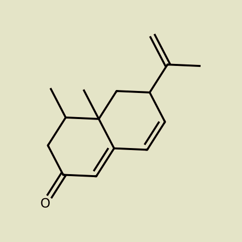 C=C(C)C1C=CC2=CC(=O)CC(C)C2(C)C1